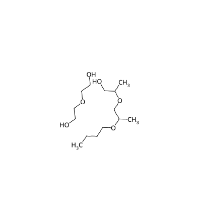 CCCCOC(C)COC(C)CO.OCCOCCO